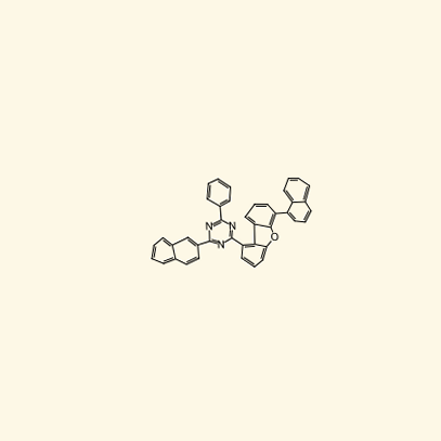 c1ccc(-c2nc(-c3ccc4ccccc4c3)nc(-c3cccc4oc5c(-c6cccc7ccccc67)cccc5c34)n2)cc1